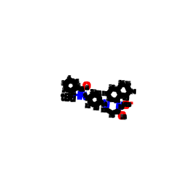 CC(C)(C)c1ccccc1C(=O)Nc1ccc(N2CCC(=O)[N+]([O-])=C3C4=CC=CCC4CCC32)cc1